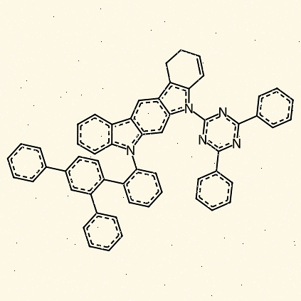 C1=Cc2c(c3cc4c5ccccc5n(-c5ccccc5-c5ccc(-c6ccccc6)cc5-c5ccccc5)c4cc3n2-c2nc(-c3ccccc3)nc(-c3ccccc3)n2)CC1